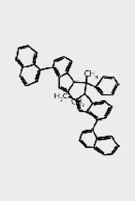 CC1=Cc2c(-c3cccc4ccccc34)cccc2C1C(C)(c1ccccc1)C1C(C)=Cc2c(-c3cccc4ccccc34)cccc21